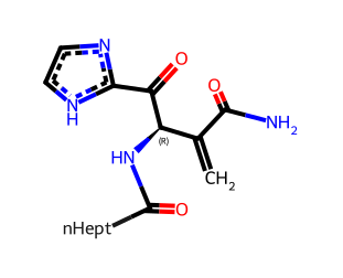 C=C(C(N)=O)[C@@H](NC(=O)CCCCCCC)C(=O)c1ncc[nH]1